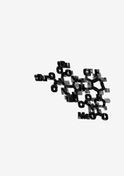 COC(=O)[C@@]1(NC(=O)OC(C)(C)C)CCN(c2ccc(F)c(CC(F)(F)F)c2Cn2cnc3c(N(C(=O)OC(C)(C)C)C(=O)OC(C)(C)C)ncnc32)C1